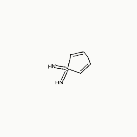 N=S1(=N)C=CC=C1